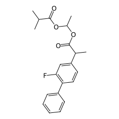 CC(OC(=O)C(C)C)OC(=O)C(C)c1ccc(-c2ccccc2)c(F)c1